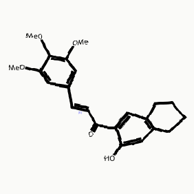 COc1cc(/C=C/C(=O)c2cc3c(cc2O)CCCC3)cc(OC)c1OC